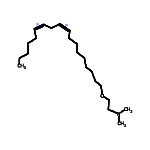 CCCCC/C=C\C/C=C\CCCCCCCCOCCN(C)C